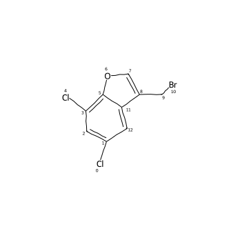 Clc1cc(Cl)c2occ(CBr)c2c1